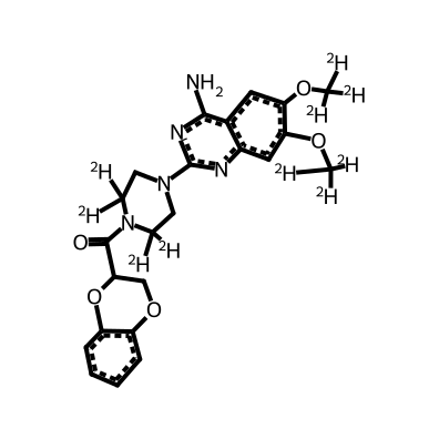 [2H]C([2H])([2H])Oc1cc2nc(N3CC([2H])([2H])N(C(=O)C4COc5ccccc5O4)C([2H])([2H])C3)nc(N)c2cc1OC([2H])([2H])[2H]